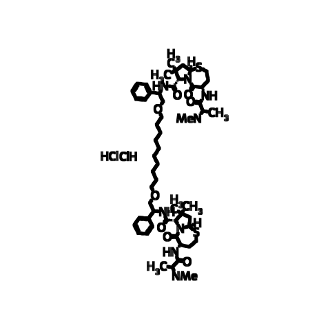 CNC(C)C(=O)N[C@H]1CCS[C@H]2CC(C)(C)[C@@H](C(=O)NC(COCCCCCCCCCCOCC(NC(=O)[C@H]3N4C(=O)[C@@H](NC(=O)C(C)NC)CCS[C@H]4CC3(C)C)c3ccccc3)c3ccccc3)N2C1=O.Cl.Cl